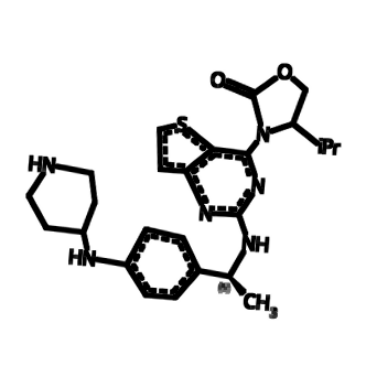 CC(C)C1COC(=O)N1c1nc(N[C@@H](C)c2ccc(NC3CCNCC3)cc2)nc2ccsc12